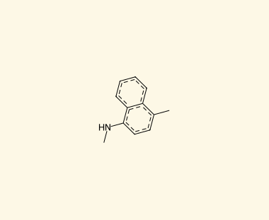 CNc1ccc(C)c2ccccc12